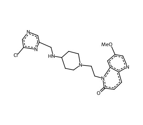 COc1cnc2ccc(=O)n(CCN3CCC(NCc4cncc(Cl)n4)CC3)c2c1